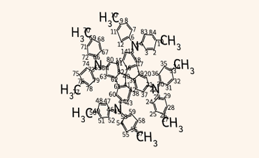 Cc1ccc(N(c2ccc(C)cc2)c2ccc3c(c2)-c2cc(N(c4ccc(C)cc4)c4ccc(C)cc4)ccc2C32c3ccc(N(c4ccc(C)cc4)c4ccc(C)cc4)cc3-c3cc(N(c4ccc(C)cc4)c4ccc(C)cc4)ccc32)cc1